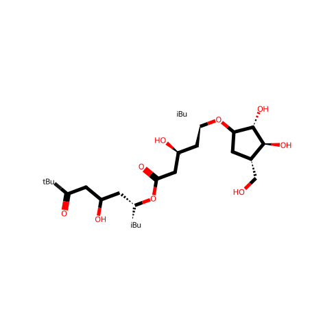 CC[C@@H](C)[C@H](CC(O)CC(=O)C(C)(C)C)OC(=O)C[C@@H](O)C[C@H](OC1C[C@@H](CO)[C@H](O)[C@H]1O)[C@H](C)CC